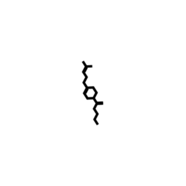 C=C(CCCC)C1CC=C(CCC=C(C)C)CC1